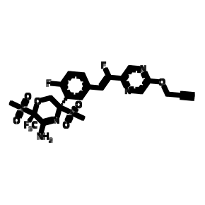 C#CCOc1cnc(/C(F)=C/c2ccc(F)c([C@@]3(S(C)(=O)=O)CO[C@@](C(F)(F)F)(S(C)(=O)=O)C(N)=N3)c2)cn1